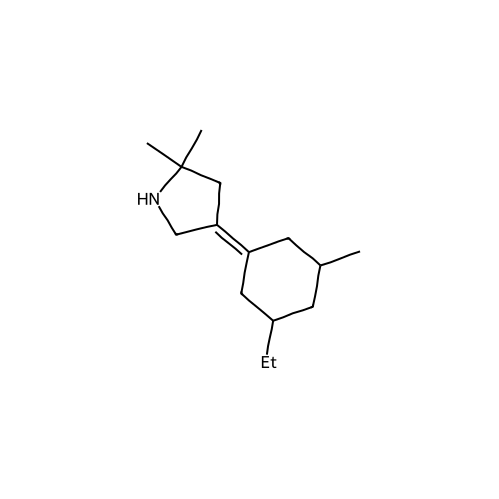 CCC1C/C(=C2\CNC(C)(C)C2)CC(C)C1